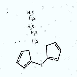 C1=CC[C]([Ti][C]2=CC=CC2)=C1.S.S.S.S.S